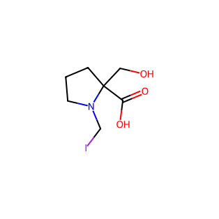 O=C(O)C1(CO)CCCN1CI